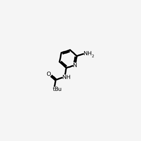 CC(C)(C)C(=O)Nc1cccc(N)n1